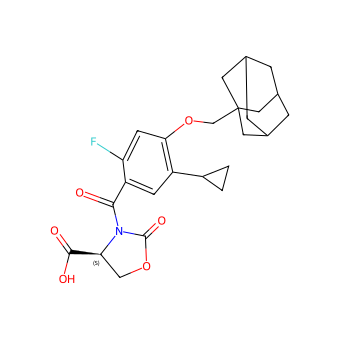 O=C(O)[C@@H]1COC(=O)N1C(=O)c1cc(C2CC2)c(OCC23CC4CC(CC(C4)C2)C3)cc1F